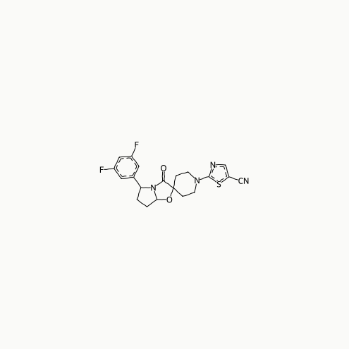 N#Cc1cnc(N2CCC3(CC2)OC2CCC(c4cc(F)cc(F)c4)N2C3=O)s1